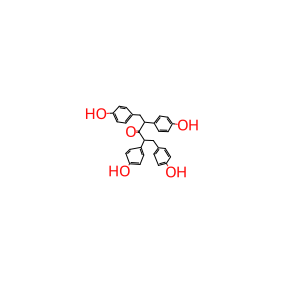 O=C(C(Cc1ccc(O)cc1)c1ccc(O)cc1)C(Cc1ccc(O)cc1)c1ccc(O)cc1